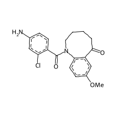 COc1ccc2c(c1)C(=O)CCCCN2C(=O)c1ccc(N)cc1Cl